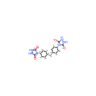 O=c1[nH][nH]c(=O)n1-c1ccc(Cc2ccc(-n3c(=O)[nH][nH]c3=O)cc2)cc1